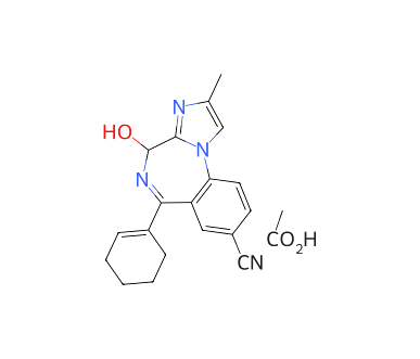 CC(=O)O.Cc1cn2c(n1)C(O)N=C(C1=CCCCC1)c1cc(C#N)ccc1-2